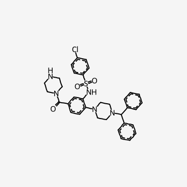 O=C(c1ccc(N2CCN(C(c3ccccc3)c3ccccc3)CC2)c(NS(=O)(=O)c2ccc(Cl)cc2)c1)N1CCNCC1